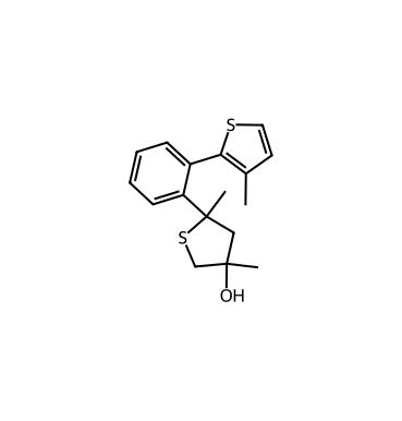 Cc1ccsc1-c1ccccc1C1(C)CC(C)(O)CS1